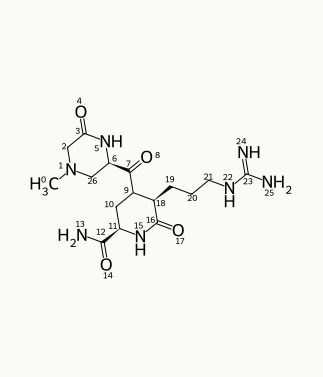 CN1CC(=O)N[C@@H](C(=O)C2C[C@H](C(N)=O)NC(=O)[C@@H]2CCCNC(=N)N)C1